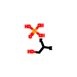 O=P(O)(O)O.OC[CH]([K])[K]